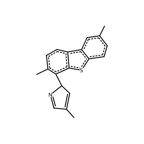 CC1=CC(c2c(C)ccc3c2sc2ccc(C)cc23)N=C1